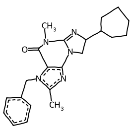 Cc1nc2c(n1Cc1ccccc1)C(=O)N(C)C1=NC(C3CCCCC3)CN12